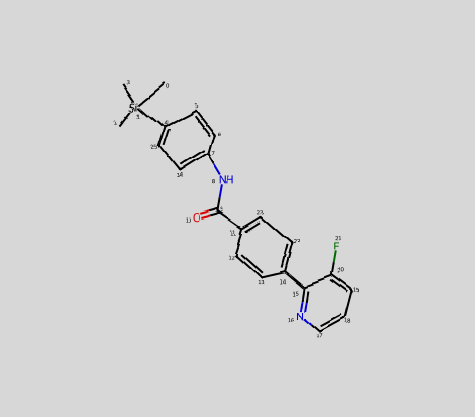 C[Si](C)(C)c1ccc(NC(=O)c2ccc(-c3ncccc3F)cc2)cc1